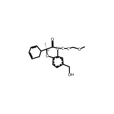 COCCCN1C(=O)[C@](C)(C2C=CC=CC2)Oc2ccc(CO)cc21